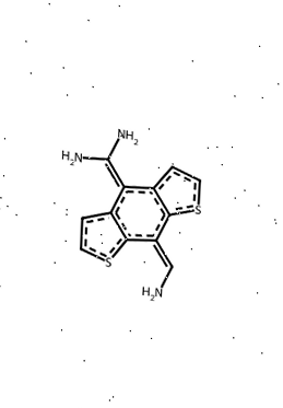 NC=c1c2sccc2c(=C(N)N)c2ccsc12